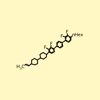 C/C=C/C1CCC(C2CCC(c3ccc(-c4ccc(-c5ccc(CCCCCC)c(F)c5F)cc4)c(F)c3F)CC2)CC1